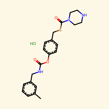 Cc1cccc(CNC(=O)Oc2ccc(CSC(=O)N3CCNCC3)cc2)c1.Cl